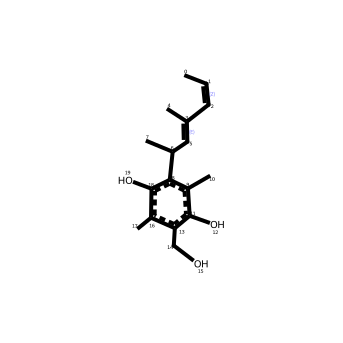 C/C=C\C(C)=C\C(C)c1c(C)c(O)c(CO)c(C)c1O